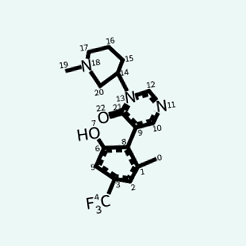 Cc1cc(C(F)(F)F)cc(O)c1-c1cncn(C2CCCN(C)C2)c1=O